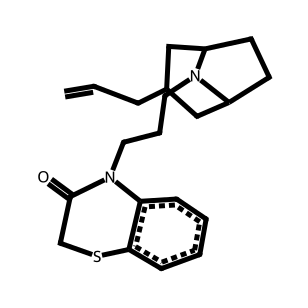 C=CCC1CC2CCC(C1)N2CCCN1C(=O)CSc2ccccc21